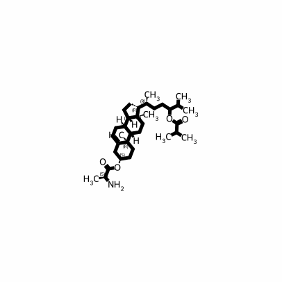 CC(C)C(=O)OC(CC[C@@H](C)[C@H]1CC[C@H]2[C@@H]3CC=C4C[C@@H](OC(=O)[C@H](C)N)CC[C@]4(C)[C@H]3CC[C@]12C)C(C)C